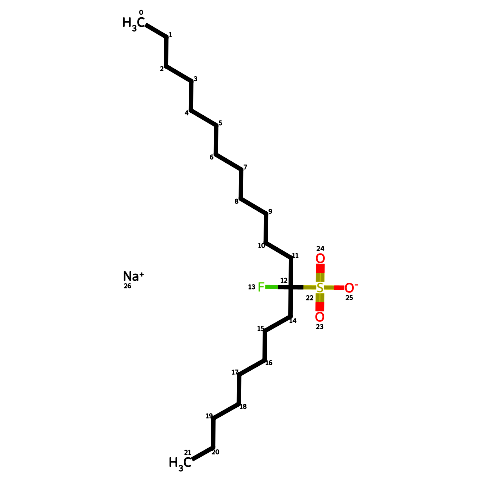 CCCCCCCCCCCCC(F)(CCCCCCCC)S(=O)(=O)[O-].[Na+]